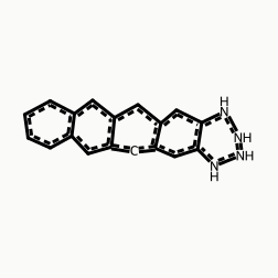 c1ccc2cc3cc4cc5[nH][nH][nH][nH]c5cc4cc3cc2c1